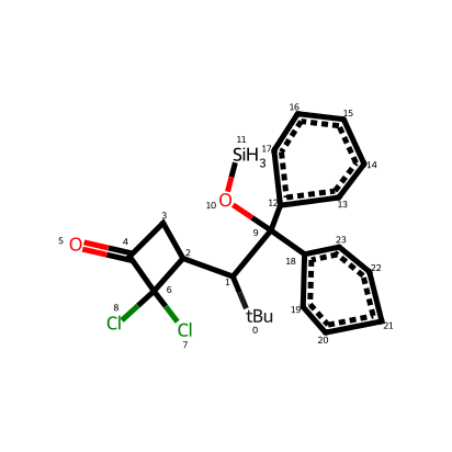 CC(C)(C)C(C1CC(=O)C1(Cl)Cl)C(O[SiH3])(c1ccccc1)c1ccccc1